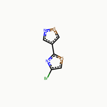 Brc1csc(-c2cnsc2)n1